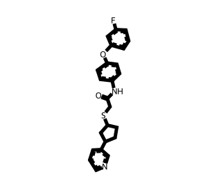 O=C(CSC1CCC(c2cccnc2)C1)Nc1ccc(Oc2cccc(F)c2)cc1